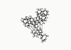 c1ccc(N2c3cc(N(c4ccccc4)c4cccc5c4c4ccccc4n5-c4ccccc4)cc4c3B(c3ccc5c(c32)-c2ccccc2C5(c2ccccc2)c2ccccc2)c2ccc3oc5ccccc5c3c2N4c2ccccc2)cc1